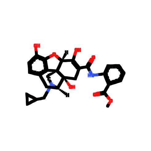 COC(=O)c1ccccc1NC(=O)C1=C(O)[C@@H]2Oc3c(O)ccc4c3[C@@]23CCN(CC2CC2)[C@H](C4)[C@]3(O)C1